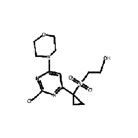 O=S(=O)(CCO)C1(c2cc(N3CCOCC3)nc(Cl)n2)CC1